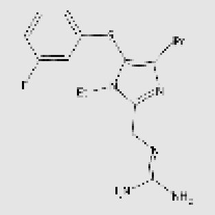 CCn1c(CN=C(N)N)nc(C(C)C)c1Sc1cccc(F)c1